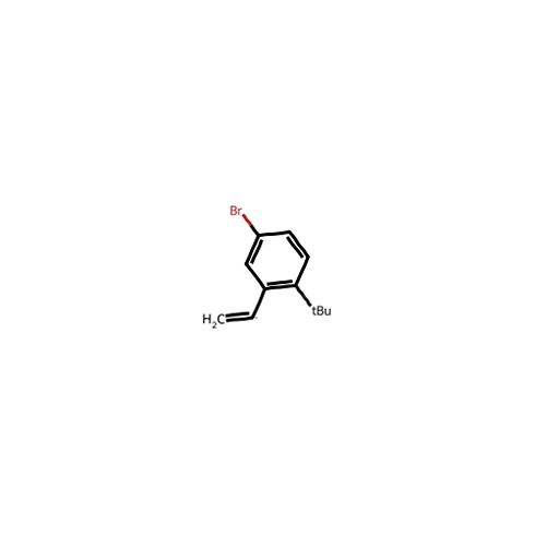 C=[C]c1cc(Br)ccc1C(C)(C)C